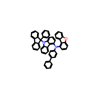 c1ccc(-c2ccc(N(c3cccc4oc5ccccc5c34)c3cccc4c3c3ccccc3n4C3(c4ccccc4)c4ccccc4-c4ccccc43)cc2)cc1